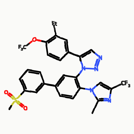 CCc1cc(-c2cnnn2-c2cc(-c3cccc(S(C)(=O)=O)c3)ccc2-n2cc(C(F)(F)F)nc2C)ccc1OC(F)(F)F